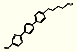 CCCCCCCCc1cnc(-c2ccc(-c3ccc(CCCCC(=O)O)cc3)cc2)nc1